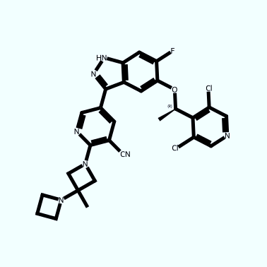 C[C@@H](Oc1cc2c(-c3cnc(N4CC(C)(N5CCC5)C4)c(C#N)c3)n[nH]c2cc1F)c1c(Cl)cncc1Cl